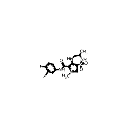 CC1CNc2c(cn(C)c2C(=O)Nc2ccc(F)c(F)c2)S(=O)(=O)N1